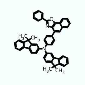 CC1(C)c2ccccc2-c2cc(N(c3ccc(-c4cc5ccccc5c5oc(-c6ccccc6)nc45)cc3)c3ccc4c(c3)C(C)(C)c3ccccc3-4)ccc21